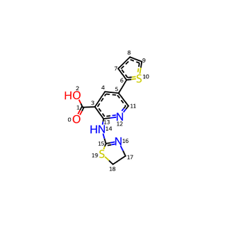 O=C(O)c1cc(-c2cccs2)cnc1NC1=NCCS1